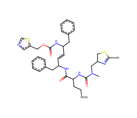 CC(=O)NCCC(NC(=O)N(C)CC1CSC(C(C)C)=N1)C(=O)NC(/C=C/C(Cc1ccccc1)NC(=O)OCc1cncs1)Cc1ccccc1